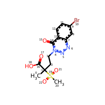 CC(CCn1nnc2cc(Br)ccc2c1=O)(C(=O)O)S(C)(=O)=O